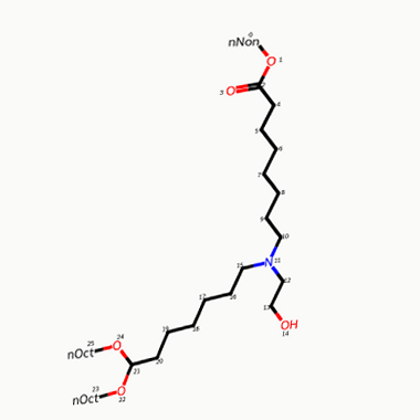 CCCCCCCCCOC(=O)CCCCCCCN(CCO)CCCCCCC(OCCCCCCCC)OCCCCCCCC